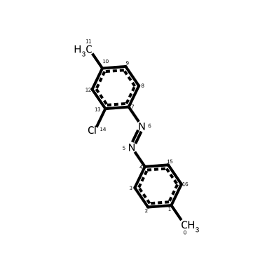 Cc1ccc(N=Nc2ccc(C)cc2Cl)cc1